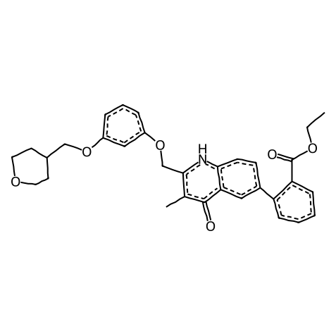 CCOC(=O)c1ccccc1-c1ccc2[nH]c(COc3cccc(OCC4CCOCC4)c3)c(C)c(=O)c2c1